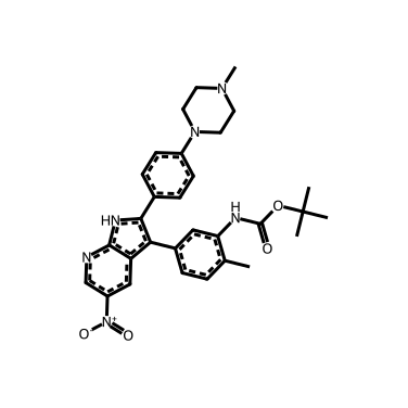 Cc1ccc(-c2c(-c3ccc(N4CCN(C)CC4)cc3)[nH]c3ncc([N+](=O)[O-])cc23)cc1NC(=O)OC(C)(C)C